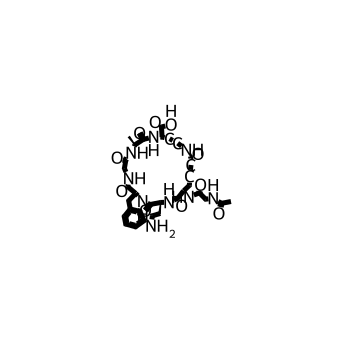 CC(=O)NCC(=O)NC1CCCC(=O)NCCC(C(=O)O)NC(=O)[C@H](C)NC(=O)CNC(=O)C(Cc2ccccc2)NC(=O)[C@H](CCN)NC1=O